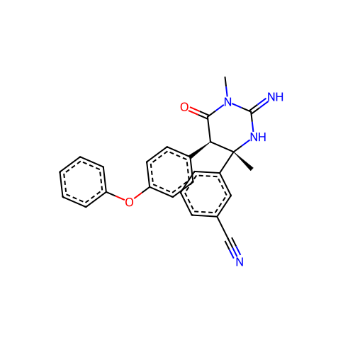 CN1C(=N)N[C@](C)(c2cccc(C#N)c2)[C@@H](c2ccc(Oc3ccccc3)cc2)C1=O